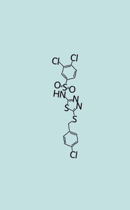 O=S(=O)(Nc1nnc(SCc2ccc(Cl)cc2)s1)c1ccc(Cl)c(Cl)c1